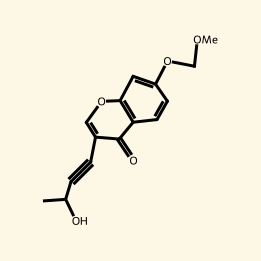 COCOc1ccc2c(=O)c(C#CC(C)O)coc2c1